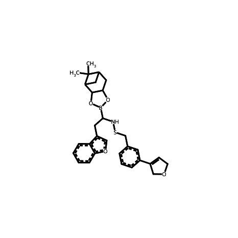 CC1(C)C2CC3OB(C(Cc4coc5ccccc45)NSCc4cccc(C5=CCOC5)c4)OC3C1C2